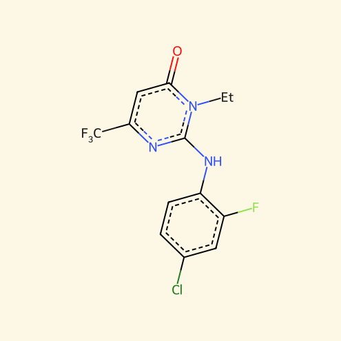 CCn1c(Nc2ccc(Cl)cc2F)nc(C(F)(F)F)cc1=O